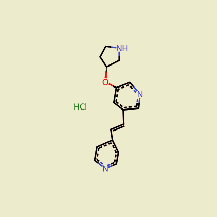 C(=C\c1cncc(O[C@H]2CCNC2)c1)/c1ccncc1.Cl